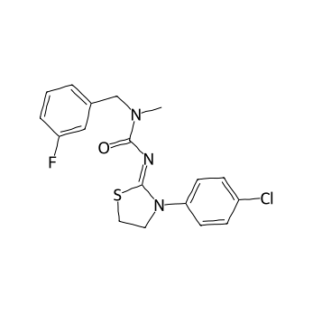 CN(Cc1cccc(F)c1)C(=O)N=C1SCCN1c1ccc(Cl)cc1